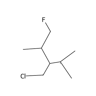 C[C](C)C(CCl)C(C)CF